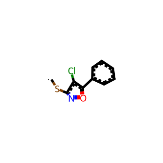 [CH2]Sc1noc(-c2ccccc2)c1Cl